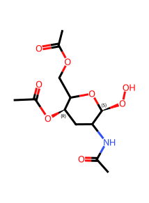 CC(=O)NC1C[C@@H](OC(C)=O)C(COC(C)=O)O[C@H]1OO